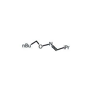 CCCCCON=CC(C)C